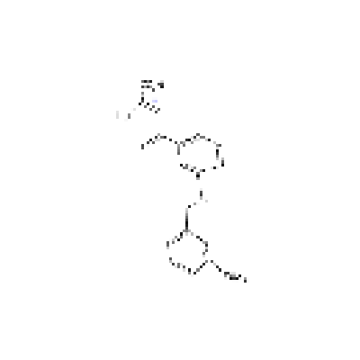 COc1cccc(COc2cccc(C(=O)/C=C(\O)C(=O)O)c2)c1